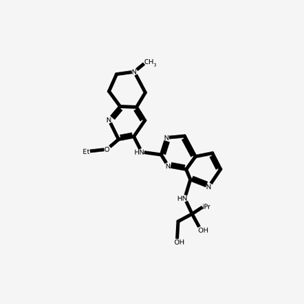 CCOc1nc2c(cc1Nc1ncc3ccnc(NC(O)(CO)C(C)C)c3n1)CN(C)CC2